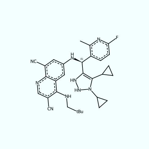 Cc1nc(F)ccc1[C@H](Nc1cc(C#N)c2ncc(C#N)c(NCC(C)(C)C)c2c1)C1=C(C2CC2)N(C2CC2)NN1